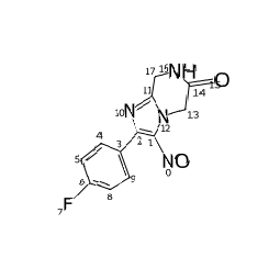 O=Nc1c(-c2ccc(F)cc2)nc2n1CC(=O)NC2